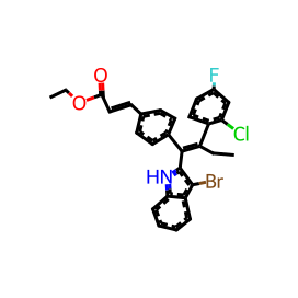 CCOC(=O)/C=C/c1ccc(/C(=C(/CC)c2ccc(F)cc2Cl)c2[nH]c3ccccc3c2Br)cc1